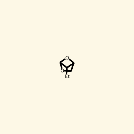 CC[C]1C2COC1O2